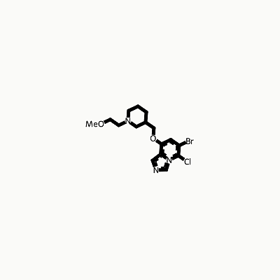 COCCN1CCCC(COc2cc(Br)c(Cl)n3cncc23)C1